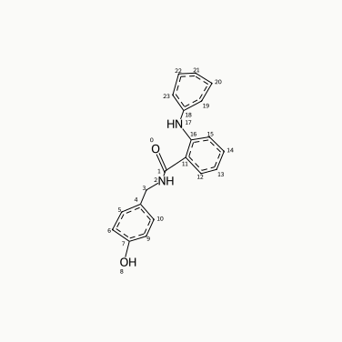 O=C(NCc1ccc(O)cc1)c1ccccc1Nc1ccccc1